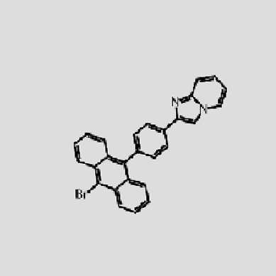 Brc1c2ccccc2c(-c2ccc(-c3cn4ccccc4n3)cc2)c2ccccc12